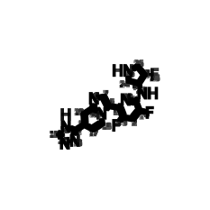 Fc1cc(F)c(-c2cnc3cc(-c4nnc[nH]4)ccn23)nc1N[C@H]1CNC[C@@H]1F